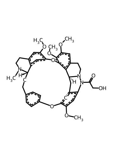 COc1cc2c3cc1Oc1ccc(cc1)CC[C@H]1c4cc(c(OC)cc4CCN1C)Oc1c(OC)c(OC)cc4c1[C@H](C3)N(CC4)N2C(=O)CO